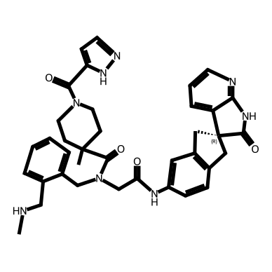 CNCc1ccccc1CN(CC(=O)Nc1ccc2c(c1)C[C@@]1(C2)C(=O)Nc2ncccc21)C(=O)C1(C)CCN(C(=O)c2ccn[nH]2)CC1